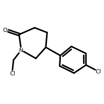 O=C1CCC(c2ccc(Cl)cc2)CN1CCl